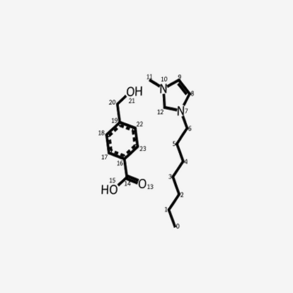 CCCCCCCN1C=CN(C)C1.O=C(O)c1ccc(CO)cc1